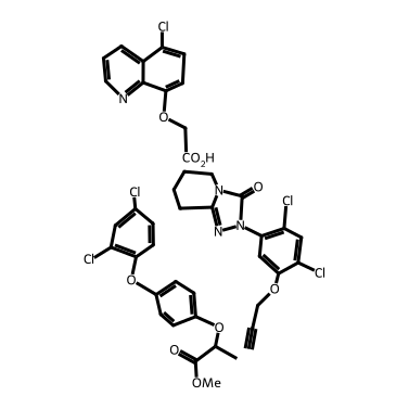 C#CCOc1cc(-n2nc3n(c2=O)CCCC3)c(Cl)cc1Cl.COC(=O)C(C)Oc1ccc(Oc2ccc(Cl)cc2Cl)cc1.O=C(O)COc1ccc(Cl)c2cccnc12